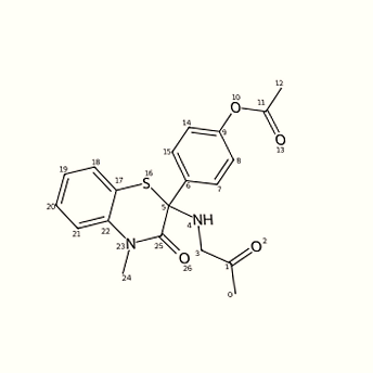 CC(=O)CNC1(c2ccc(OC(C)=O)cc2)Sc2ccccc2N(C)C1=O